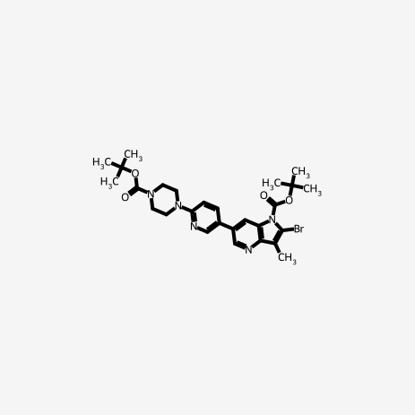 Cc1c(Br)n(C(=O)OC(C)(C)C)c2cc(-c3ccc(N4CCN(C(=O)OC(C)(C)C)CC4)nc3)cnc12